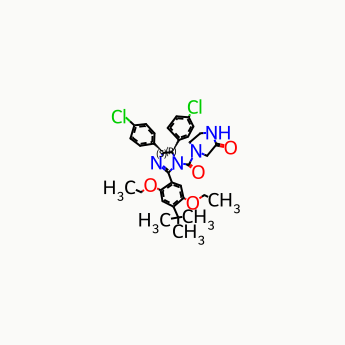 CCOc1cc(C(C)(C)C)c(OCC)cc1C1=N[C@@H](c2ccc(Cl)cc2)[C@@H](c2ccc(Cl)cc2)N1C(=O)N1CCNC(=O)C1